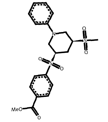 COC(=O)c1ccc(S(=O)(=O)[C@@H]2C[C@H](S(C)(=O)=O)CN(c3ccccc3)C2)cc1